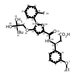 CCOc1cccc([C@H](CC(=O)O)NC(=O)c2cc(OC[C@@](C)(O)C(C)(C)C)n(-c3ccccc3F)n2)c1